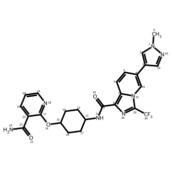 Cn1cc(-c2ccc3c(C(=O)NC4CCC(Oc5ncccc5C(N)=O)CC4)nc(C(F)(F)F)n3c2)cn1